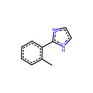 Cc1ccc[c]c1-c1ncc[nH]1